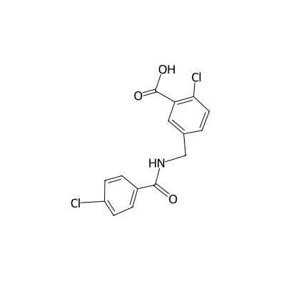 O=C(NCc1ccc(Cl)c(C(=O)O)c1)c1ccc(Cl)cc1